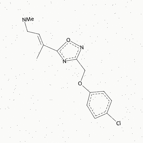 CNC/C=C(\C)c1nc(COc2ccc(Cl)cc2)no1